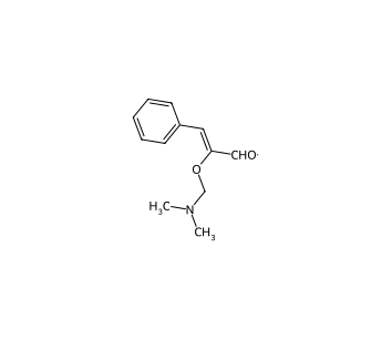 CN(C)COC([C]=O)=Cc1ccccc1